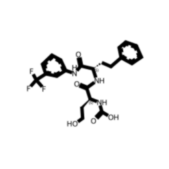 O=C(O)N[C@@H](CCO)C(=O)N[C@@H](CCc1ccccc1)C(=O)Nc1cccc(C(F)(F)F)c1